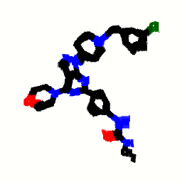 CNC(=O)Nc1ccc(-c2nc(N3CCOCC3)c3cnn(C4CCN(Cc5cccc(Cl)c5)CC4)c3n2)cc1